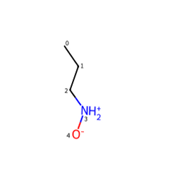 CCC[NH2+][O-]